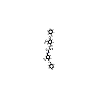 COc1cc(/C=C/C(=O)NCCc2ccc(OCc3ccccc3)c(OC)c2)ccc1OCc1ccccc1